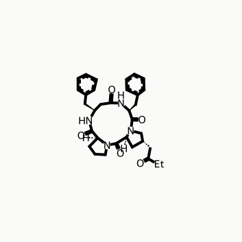 CCC(=O)C[C@@H]1C[C@H]2C(=O)N3CCC[C@H]3C(=O)N[C@@H](Cc3ccccc3)CC(=O)N[C@@H](Cc3ccccc3)C(=O)N2C1